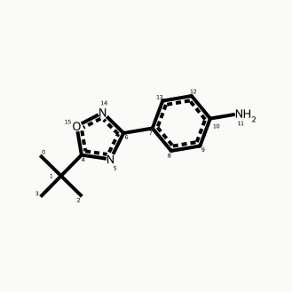 CC(C)(C)c1nc(-c2ccc(N)cc2)no1